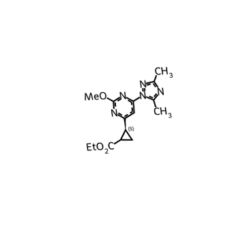 CCOC(=O)C1C[C@@H]1c1cc(-n2nc(C)nc2C)nc(OC)n1